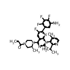 C=CC(=O)N1CCN(c2nc(=O)n(-c3c(C)ccnc3C(C)C)c3nc(-c4cc(N)c(F)c(F)c4F)c(F)cc23)[C@@H](C)C1